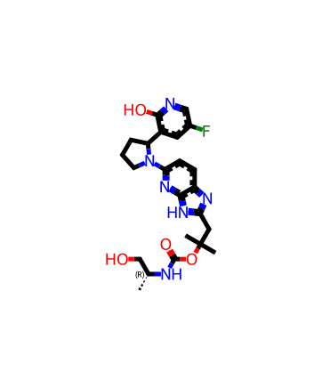 C[C@H](CO)NC(=O)OC(C)(C)Cc1nc2ccc(N3CCCC3c3cc(F)cnc3O)nc2[nH]1